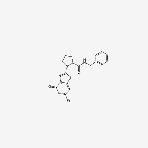 CCc1cc(=O)n2nc(N3CCCC3C(=O)NCc3ccccc3)sc2c1